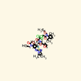 C#CCN1C(=O)COc2cc(F)c(/N=c3\snc4n3CC(C)(C)C4)cc21.CC1(C)OC(c2ccco2)CN1C(=O)C(Cl)Cl.CCOCN(C(=O)CCl)c1c(C)cccc1CC